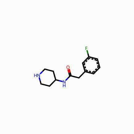 O=C(Cc1cccc(F)c1)NC1CCNCC1